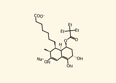 CCC(CC)(CC)C(=O)O[C@H]1C[C@H](O)C(O)=C2C=C(O)[C@@H](C)[C@@H](CCCCCCC(=O)[O-])[C@H]21.[Na+]